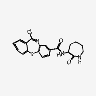 O=C(NC1CCCCNC1=O)c1ccc2c(c1)N=C(Cl)c1ccccc1S2